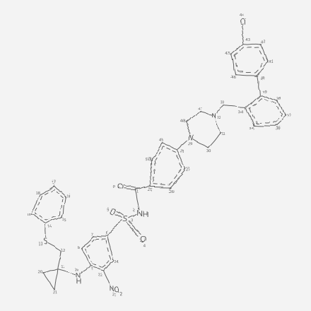 O=C(NS(=O)(=O)c1ccc(NC2(CSc3ccccc3)CC2)c([N+](=O)[O-])c1)c1ccc(N2CCN(Cc3ccccc3-c3ccc(Cl)cc3)CC2)cc1